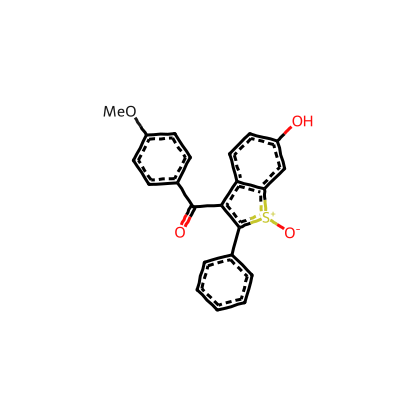 COc1ccc(C(=O)c2c(-c3ccccc3)[s+]([O-])c3cc(O)ccc23)cc1